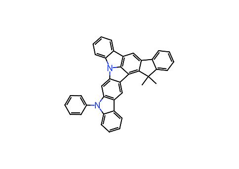 CC1(C)c2ccccc2-c2cc3c4ccccc4n4c5cc6c(cc5c(c21)c34)c1ccccc1n6-c1ccccc1